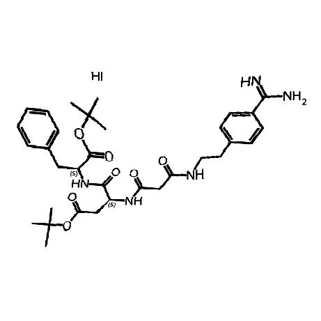 CC(C)(C)OC(=O)C[C@H](NC(=O)CC(=O)NCCc1ccc(C(=N)N)cc1)C(=O)N[C@@H](Cc1ccccc1)C(=O)OC(C)(C)C.I